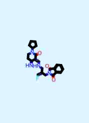 N=C1CCN(C2CCCC2)C(=O)/C1=C/NC/C(=C/F)CN1C(=O)c2ccccc2C1=O